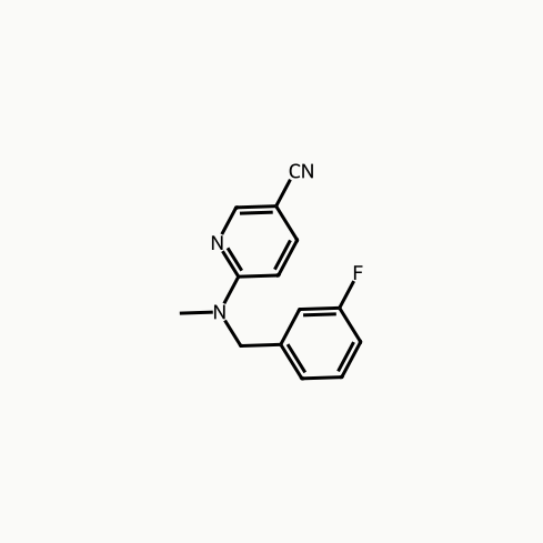 CN(Cc1cccc(F)c1)c1ccc(C#N)cn1